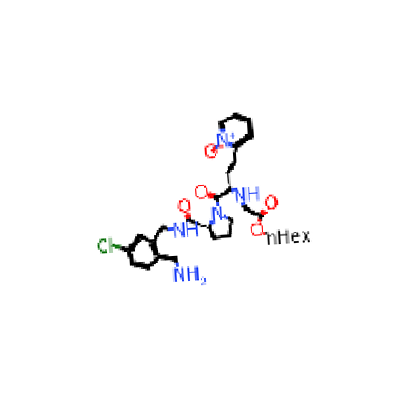 CCCCCCOC(=O)CN[C@H](CCc1cccc[n+]1[O-])C(=O)N1CCC[C@H]1C(=O)NCc1cc(Cl)ccc1CN